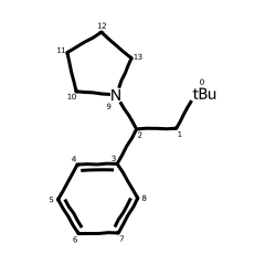 CC(C)(C)CC(c1ccccc1)N1CCCC1